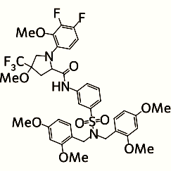 COc1ccc(CN(Cc2ccc(OC)cc2OC)S(=O)(=O)c2cccc(NC(=O)C3CC(OC)(C(F)(F)F)CN3c3ccc(F)c(F)c3OC)c2)c(OC)c1